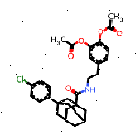 CC(=O)Oc1ccc(CCNC(=O)C23CC4CC(C2)CC(c2ccc(Cl)cc2)(C4)C3)cc1OC(C)=O